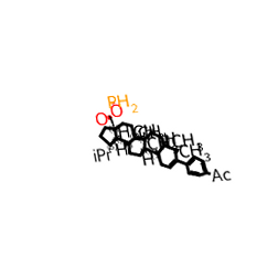 CC(=O)c1ccc(C2=CC[C@]3(C)[C@H]4CC[C@@H]5[C@H]6[C@H](C(C)C)CC[C@]6(C(=O)OP)CC[C@@]5(C)[C@]4(C)CC[C@H]3C2(C)C)cc1